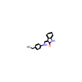 N#CCc1ccc(N/C=C2\C(=O)Nc3ccccc32)cc1